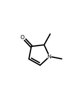 CC1C(=O)C=CN1C